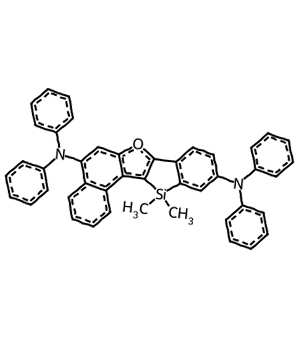 C[Si]1(C)c2cc(N(c3ccccc3)c3ccccc3)ccc2-c2oc3cc(N(c4ccccc4)c4ccccc4)c4ccccc4c3c21